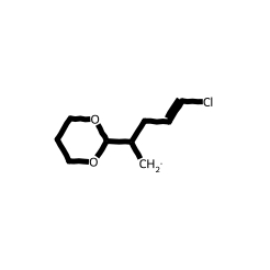 [CH2]C(CC=CCl)C1OCCCO1